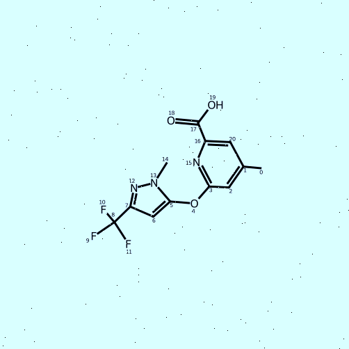 Cc1cc(Oc2cc(C(F)(F)F)nn2C)nc(C(=O)O)c1